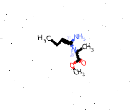 CC/C=C(N)\N=C(/C)C(=O)OC